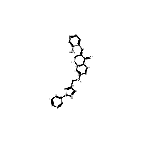 O=C1C(=Cc2ccccc2C(F)(F)F)COc2cc(OCc3cnn(-c4ccccc4)c3)ccc21